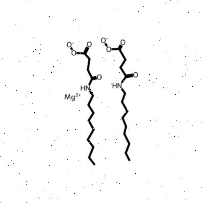 CCCCCCCCCNC(=O)CCC(=O)O[O-].CCCCCCCCCNC(=O)CCC(=O)O[O-].[Mg+2]